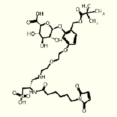 CC(C)(C)C(=O)OCc1ccc(OCCOCCNC[C@@H](CS(=O)(=O)O)NC(=O)CCCCCN2C(=O)C=CC2=O)cc1O[C@@H]1O[C@H](C(=O)O)[C@@H](O)[C@H](O)[C@H]1O